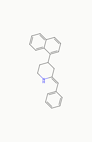 C(=C1CC(c2cccc3ccccc23)CCN1)c1ccccc1